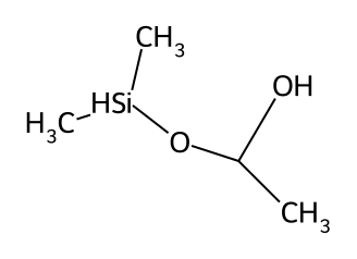 CC(O)O[SiH](C)C